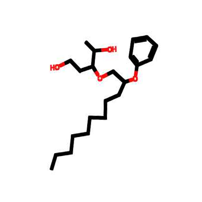 CCCCCCCCCC(COC([CH]CO)C(C)O)Oc1ccccc1